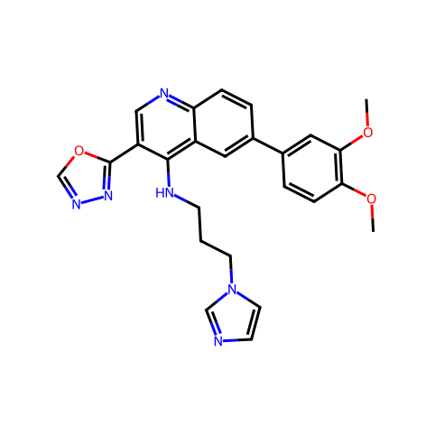 COc1ccc(-c2ccc3ncc(-c4nnco4)c(NCCCn4ccnc4)c3c2)cc1OC